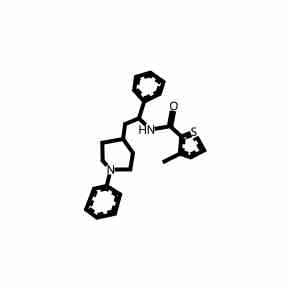 Cc1ccsc1C(=O)NC(CC1CCN(c2ccccc2)CC1)c1ccccc1